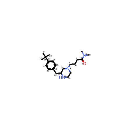 CN(C)C(=O)CCCN1CCNC(Cc2ccc(C(C)(C)C)cc2)C1